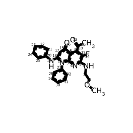 COCCNc1nc2c(c(C(C)=O)c1F)c(=O)cc(Nc1ccccc1)n2-c1ccccc1